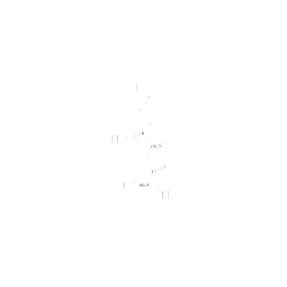 C=C(C)C(=O)OC(=O)C(=C)CCCF